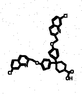 O=C(O)C1CCC(c2ccc(OCc3ccc4ccc(Cl)cc4n3)cc2)(c2ccc(OCc3ccc4ccc(Cl)cc4n3)cc2)CC1